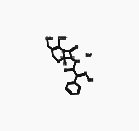 CC(=O)OCC1=C(C(=O)[O-])N2C(=O)[C@@H](NC(=O)C(=NO)c3ccccc3)[C@@H]2SC1.[Na+]